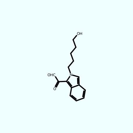 O=CC(=O)c1c2ccccc2cn1CCCCCO